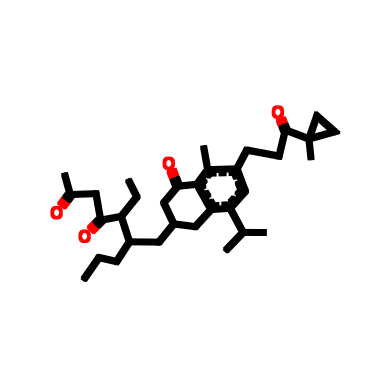 CCCC(CC1CC(=O)c2c(C)c(CCC(=O)C3(C)CC3)cc(C(C)C)c2C1)C(CC)C(=O)CC(C)=O